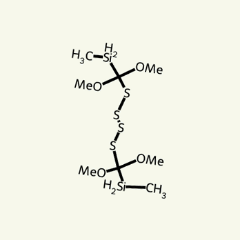 COC(OC)([SiH2]C)SSSSC(OC)(OC)[SiH2]C